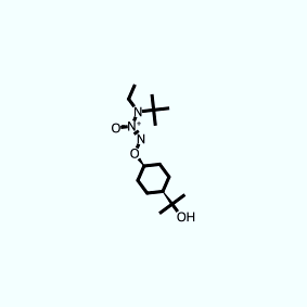 CCN(/[N+]([O-])=N/O[C@H]1CC[C@@H](C(C)(C)O)CC1)C(C)(C)C